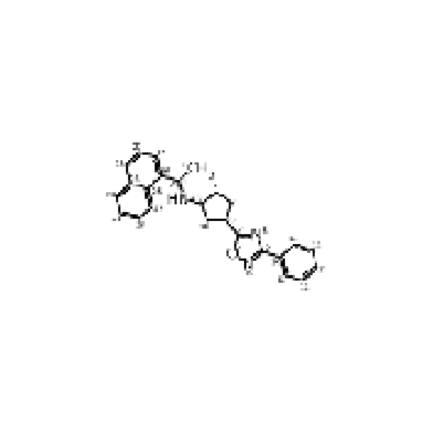 C[C@@H](NC1CCC(c2nc(-c3ccccc3)no2)C1)c1cccc2ccccc12